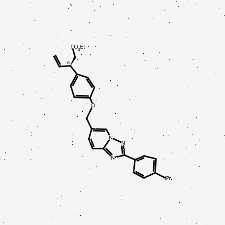 C=C[C@@H](CC(=O)OCC)c1ccc(OCc2ccc3nc(-c4ccc(C(C)C)cc4)nn3c2)cc1